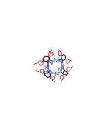 CCOc1ccc(OCC)c2c1-c1nc-2nc2[nH]c(nc3nc(nc4[nH]c(n1)c1c(OCC)ccc(OCC)c41)-c1c(OCC)ccc(OCC)c1-3)c1c(OCC)ccc(OCC)c21